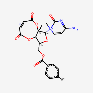 CC(C)c1ccc(C(=O)OC[C@H]2O[C@@H]([N+]3(C)C=CC(N)=NC3=O)[C@H]3OC(=O)/C=C\C(=O)OC23)cc1